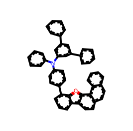 c1ccc(-c2cc(-c3ccccc3)cc(N(c3ccccc3)c3ccc(-c4cccc5c4oc4c5ccc5ccc6ccccc6c54)cc3)c2)cc1